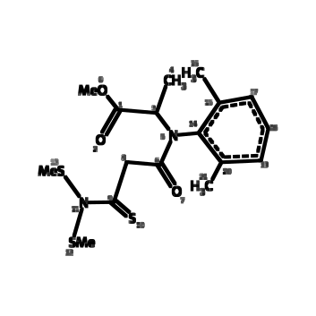 COC(=O)C(C)N(C(=O)CC(=S)N(SC)SC)c1c(C)cccc1C